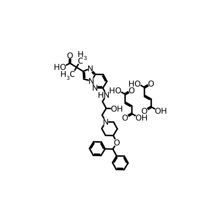 CC(C)(C(=O)O)c1cn2nc(NCC(O)CN3CCC(OC(c4ccccc4)c4ccccc4)CC3)ccc2n1.O=C(O)C=CC(=O)O.O=C(O)C=CC(=O)O